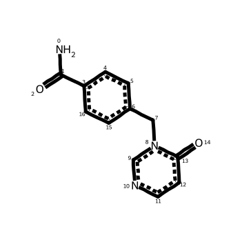 NC(=O)c1ccc(Cn2cnccc2=O)cc1